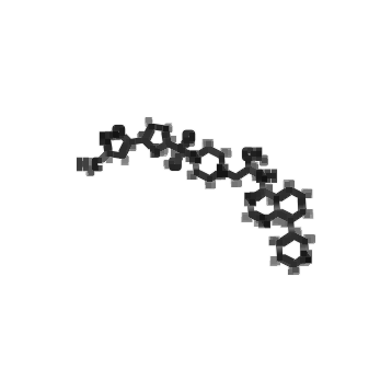 Cc1cc(-c2ccc(S(=O)(=O)N3CCN(CC(C)Nc4ncnc5c(-c6cccnc6)cccc45)CC3)s2)on1